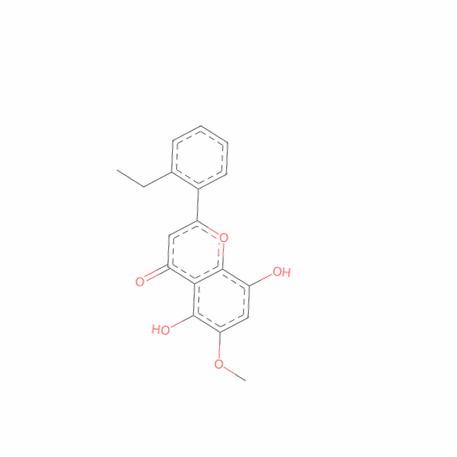 CCc1ccccc1-c1cc(=O)c2c(O)c(OC)cc(O)c2o1